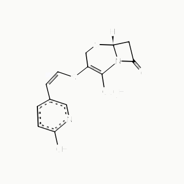 Cc1ccc(/C=C\SC2=C(C(=O)O)N3C(=O)C[C@H]3SC2)cn1